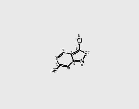 Fc1ccc2c(Cl)snc2c1